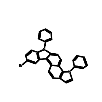 Brc1ccc2c(c1)c1c3ccc4ccn(-c5ccccc5)c4c3ccc1n2-c1ccccc1